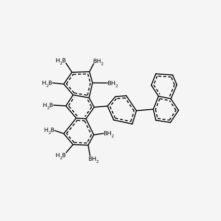 Bc1c(B)c(B)c2c(-c3ccc(-c4cccc5ccccc45)cc3)c3c(B)c(B)c(B)c(B)c3c(B)c2c1B